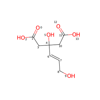 O=C(O)CC(O)(C=CCO)CC(=O)O